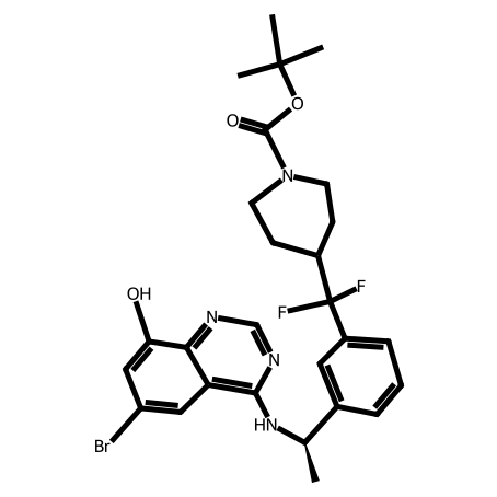 C[C@@H](Nc1ncnc2c(O)cc(Br)cc12)c1cccc(C(F)(F)C2CCN(C(=O)OC(C)(C)C)CC2)c1